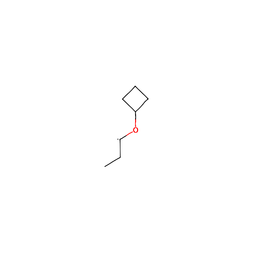 CC[CH]OC1CCC1